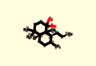 CC[C@@H](C)CC[C@@H]1[C@@H](C)CC[C@H]2C(C)(C)CCC(O)(O)[C@]12C